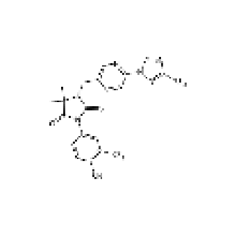 CC1(C)C(=O)N(c2ccc(C#N)c(C(F)(F)F)c2)C(=S)N1Cc1ccc(-n2cnc(C(F)(F)F)n2)nc1